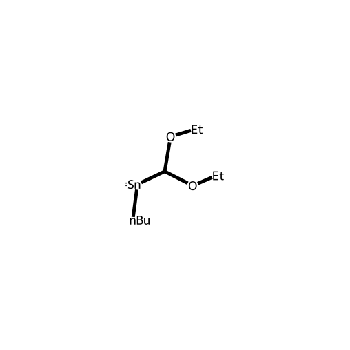 CCC[CH2][Sn][CH](OCC)OCC